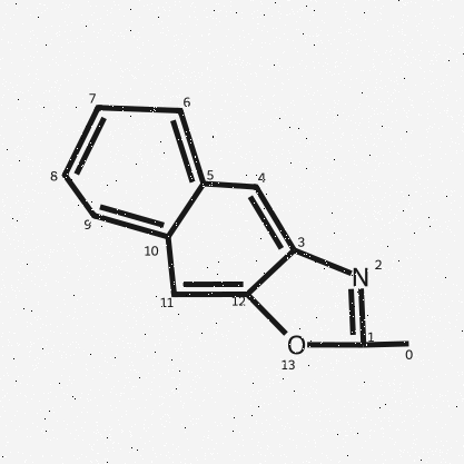 Cc1nc2cc3ccccc3cc2o1